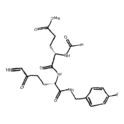 COC(=O)CC[C@H](NC(=O)C(C)C)C(=O)N[C@@H](CCC(=O)C=N)C(=O)NCc1ccc(F)cc1